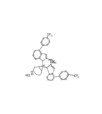 CCCCC1=Cc2c(-c3ccc(C(F)(F)F)cc3)cccc2[CH]1[Hf]1([CH]2C(CCCC)=Cc3c(-c4ccc(C(F)(F)F)cc4)cccc32)[CH]2CCCC[CH]21.Cl.Cl